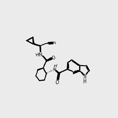 N#CC(NC(=O)C1CCCC[C@H]1NC(=O)c1ccc2cc[nH]c2c1)C1CC1